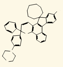 N#Cc1ccc2c(c1)C1(CCCCCCC1)c1c3c(c4ccccc4c1-2)OC(c1ccccc1)(c1ccc(N2CCOCC2)cc1)C=C3